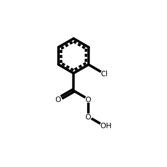 O=C(OOO)c1ccccc1Cl